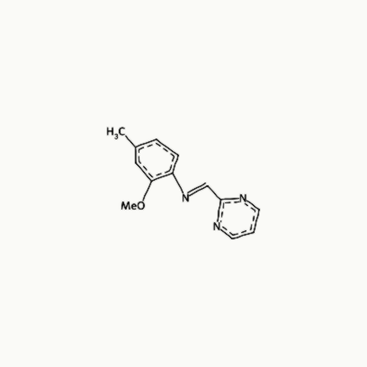 COc1cc(C)ccc1N=Cc1ncccn1